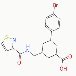 O=C(NCC1CC(C(=O)O)CC(c2ccc(Br)cc2)C1)c1ccsn1